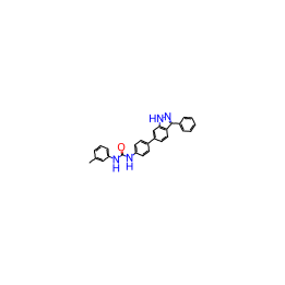 Cc1cccc(NC(=O)Nc2ccc(-c3ccc4c(-c5ccccc5)n[nH]c4c3)cc2)c1